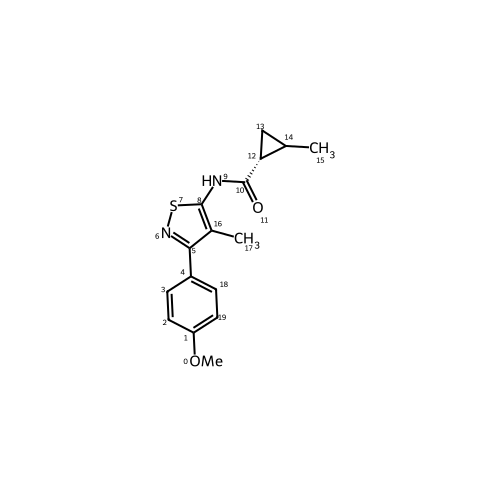 COc1ccc(-c2nsc(NC(=O)[C@@H]3CC3C)c2C)cc1